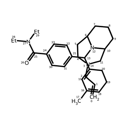 C=CCN1CCC2CCCC(C1)N2C(C1=CC(C)=CCC1)c1ccc(C(=O)N(CC)CC)cc1